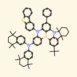 CC(C)(C)c1cc2c3c(c1)C1(C)CCCCC1(C)N3c1cc(-c3ccccc3)cc3c1B2c1ccc(N(c2ccc4c(c2)C(C)(C)CCC4(C)C)c2ccc4c(c2)C(C)(C)CCC4(C)C)cc1N3c1ccc2sc3ccccc3c2c1